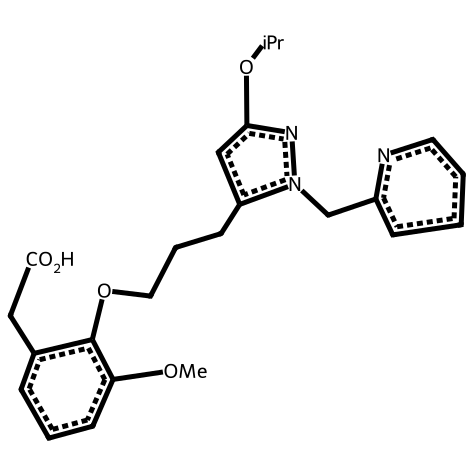 COc1cccc(CC(=O)O)c1OCCCc1cc(OC(C)C)nn1Cc1ccccn1